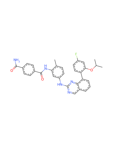 Cc1ccc(Nc2ncc3cccc(-c4ccc(F)cc4OC(C)C)c3n2)cc1NC(=O)c1ccc(C(N)=O)cc1